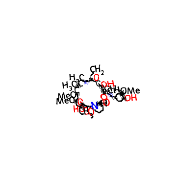 C=CC[C@@H]1/C=C(\C)C[C@H](C)C[C@H](OC)C2O[C@@](O)(C(=O)C(=O)N3CCCC[C@H]3C(=O)O[C@H](/C(C)=C/[C@@H]3CC[C@@H](O)[C@H](OC)C3)[C@H](C)[C@@H](O)CC1=O)[C@H](C)C[C@@H]2OC